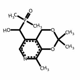 Cc1ncc(C(O)P(C)(C)=O)c2c1OC(C)(C)OC2